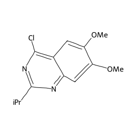 COc1cc2nc(C(C)C)nc(Cl)c2cc1OC